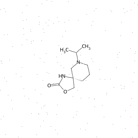 CC(C)N1CCC[C@@]2(COC(=O)N2)C1